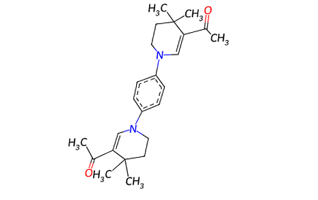 CC(=O)C1=CN(c2ccc(N3C=C(C(C)=O)C(C)(C)CC3)cc2)CCC1(C)C